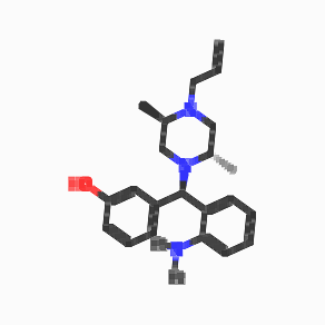 C=CCN1C[C@H](C)N([C@H](c2cccc(O)c2)c2ccccc2N(CC)CC)C[C@H]1C